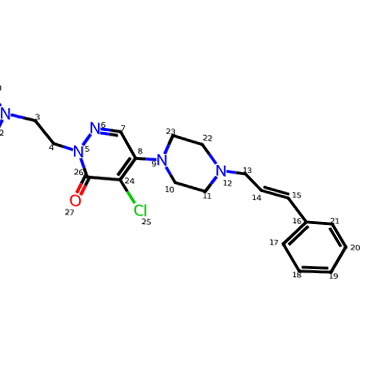 CCN(CC)CCn1ncc(N2CCN(C/C=C/c3ccccc3)CC2)c(Cl)c1=O